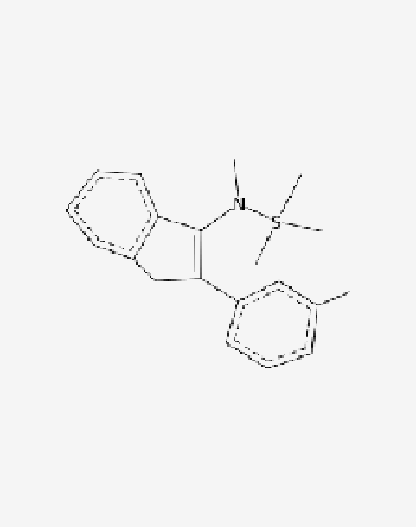 Cc1cccc(C2=C(N(C)S(C)(C)C)c3ccccc3C2)c1